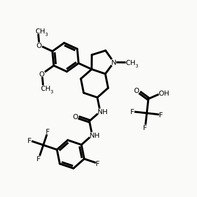 COc1ccc(C23CCC(NC(=O)Nc4cc(C(F)(F)F)ccc4F)CC2N(C)CC3)cc1OC.O=C(O)C(F)(F)F